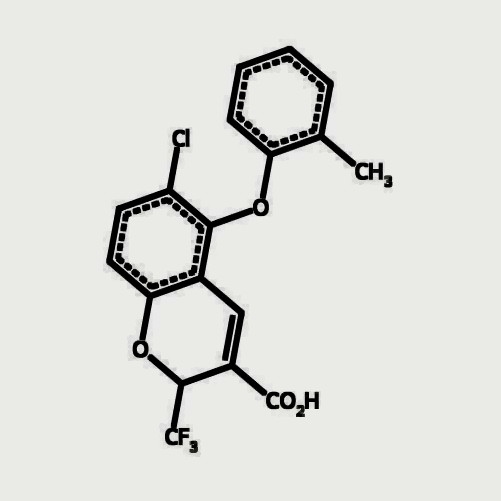 Cc1ccccc1Oc1c(Cl)ccc2c1C=C(C(=O)O)C(C(F)(F)F)O2